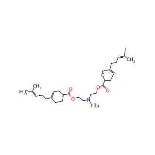 CCCCN(CCOC(=O)C1CC=C(CCC=C(C)C)CC1)CCOC(=O)C1CC=C(CC/C=C(\C)I)CC1